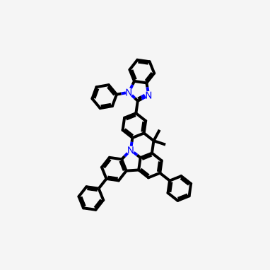 CC1(C)c2cc(-c3nc4ccccc4n3-c3ccccc3)ccc2-n2c3ccc(-c4ccccc4)cc3c3cc(-c4ccccc4)cc1c32